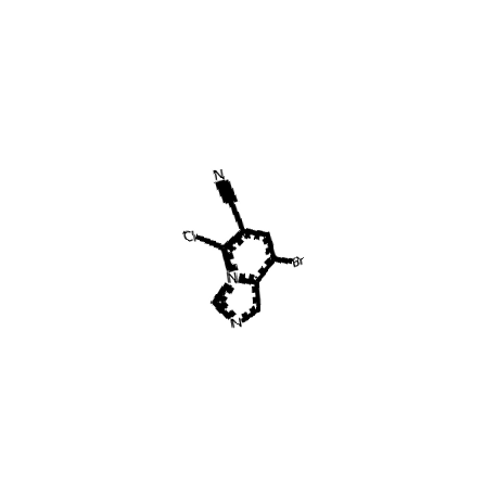 N#Cc1cc(Br)c2cncn2c1Cl